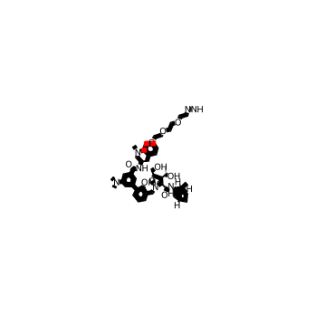 COc1c(CN2O[C@@H](CO)[C@@H]([C@H](C)O)[C@H]2C(=O)NC2C[C@H]3C[C@@H]([C@@H]2C)C3(C)C)cccc1-c1cc(C(=O)N[C@H](Cc2ccccc2)CN(C)CCOCCOCCOCCN=N)cc(N(C)C)c1